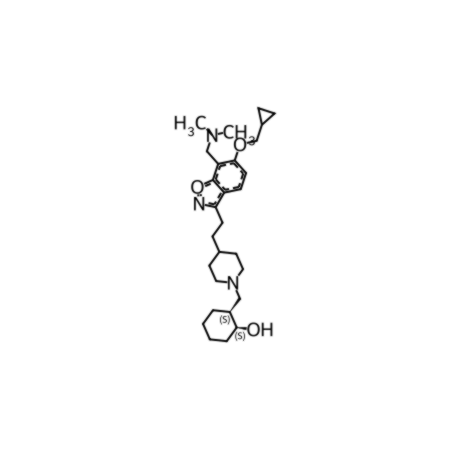 CN(C)Cc1c(OCC2CC2)ccc2c(CCC3CCN(C[C@@H]4CCCC[C@@H]4O)CC3)noc12